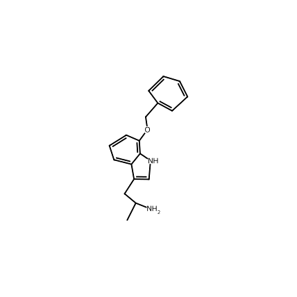 CC(N)Cc1c[nH]c2c(OCc3ccccc3)cccc12